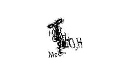 C=C(CCCCCC(NC(=O)C(=O)O)C(=O)NNC(=O)OCC1c2ccccc2-c2ccccc21)OC